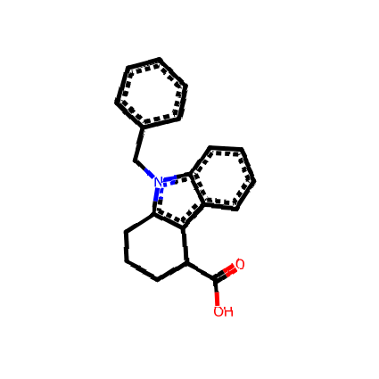 O=C(O)C1CCCc2c1c1ccccc1n2Cc1ccccc1